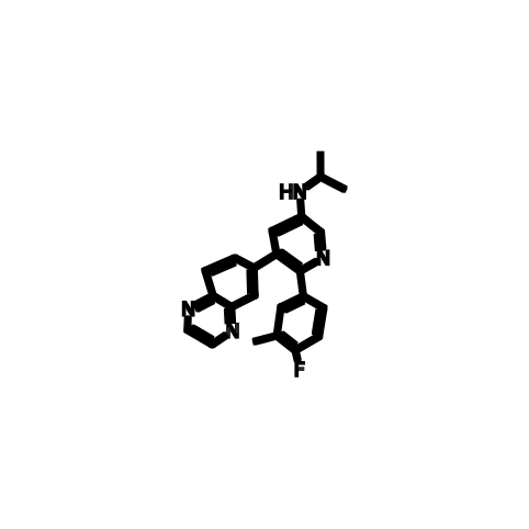 Cc1cc(-c2ncc(NC(C)C)cc2-c2ccc3nccnc3c2)ccc1F